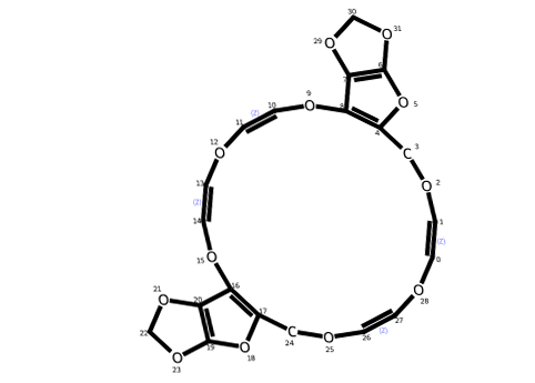 C1=C\OCc2oc3c(c2O/C=C\O/C=C\Oc2c(oc4c2OCO4)CO/C=C\O/1)OCO3